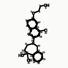 OCCOc1ccc2nc(N3CCS(O)(O)c4ccccc4C3)cc(Cl)c2c1